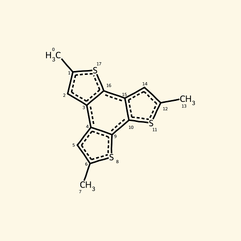 Cc1cc2c3cc(C)sc3c3sc(C)cc3c2s1